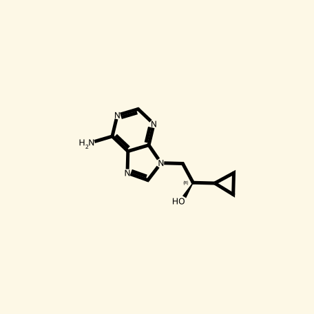 Nc1ncnc2c1ncn2C[C@H](O)C1CC1